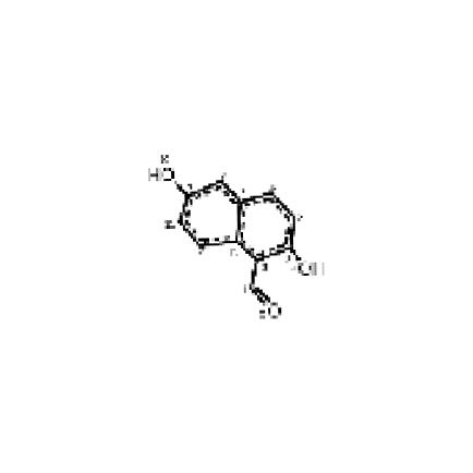 O=Cc1c(O)ccc2cc(O)ccc12